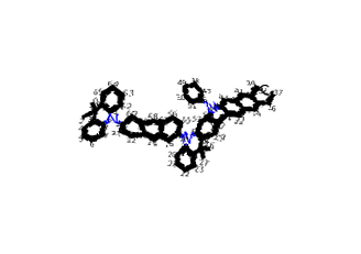 CC1(C)c2ccccc2N(c2ccc3cc4cc(N5c6ccccc6C(C)(C)c6cc7c8cc9cc%10ccccc%10cc9cc8n(-c8ccccc8)c7cc65)ccc4cc3c2)c2ccccc21